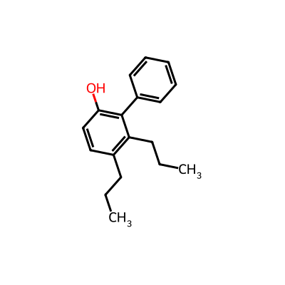 CCCc1ccc(O)c(-c2ccccc2)c1CCC